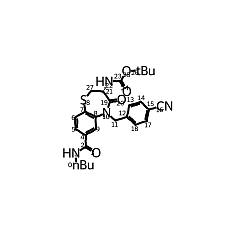 CCCCNC(=O)c1ccc2c(c1)N(Cc1ccc(C#N)cc1)C(=O)[C@@H](NC(=O)OC(C)(C)C)CS2